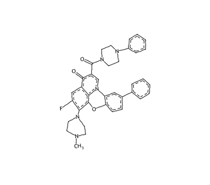 CN1CCN(c2c(F)cc3c(=O)c(C(=O)N4CCN(c5ccccc5)CC4)cn4c3c2Oc2ccc(-c3ccccc3)cc2-4)CC1